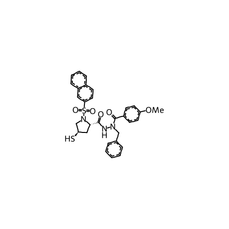 COc1ccc(C(=O)N(Cc2ccccc2)NC(=O)[C@@H]2C[C@@H](S)CN2S(=O)(=O)c2ccc3ccccc3c2)cc1